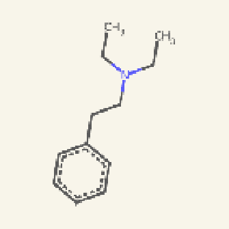 CCN(CC)CCc1cc[c]cc1